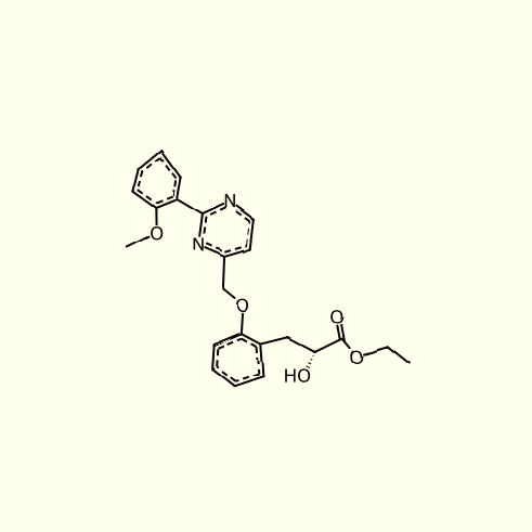 CCOC(=O)[C@H](O)Cc1ccccc1OCc1ccnc(-c2ccccc2OC)n1